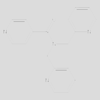 O=C(c1ccncc1)N(Cc1ccccn1)Cc1ccccn1